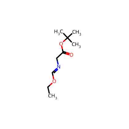 CCOC=NCC(=O)OC(C)(C)C